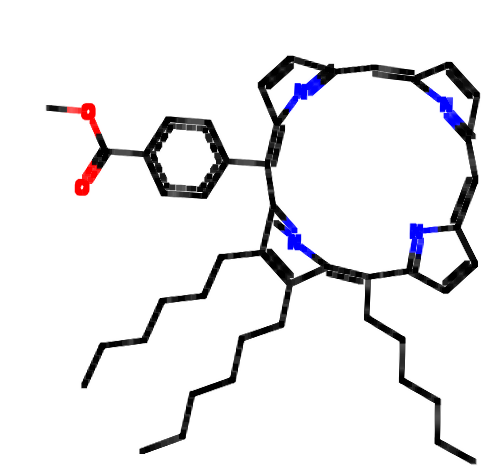 CCCCCCC1=C(CCCCCC)C2=C(CCCCCC)C3=NC(=CC4=NC(=CC5=NC(=C(c6ccc(C(=O)OC)cc6)C1=N2)C=C5)C=C4)C=C3